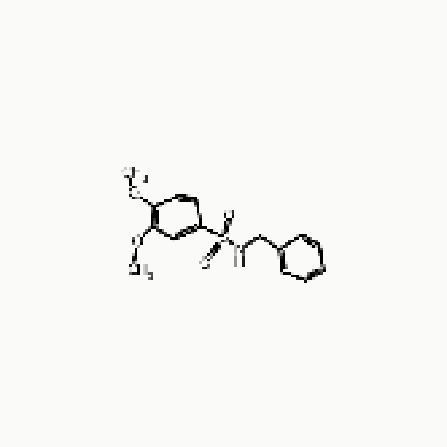 COc1ccc(S(=O)(=O)NCc2ccccc2)cc1OC